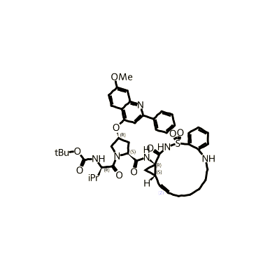 COc1ccc2c(O[C@@H]3C[C@@H](C(=O)N[C@]45C[C@H]4/C=C\CCCCCNc4ccccc4S(=O)(=O)NC5=O)N(C(=O)[C@H](NC(=O)OC(C)(C)C)C(C)C)C3)cc(-c3ccccc3)nc2c1